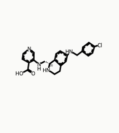 O=C(O)c1ccncc1NC[C@H]1NCCc2cc(NCc3ccc(Cl)cc3)ccc21